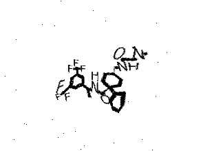 CC(NC(=O)[C@]1(c2ccccc2)CC[C@@H](CNC(=O)CN(C)C)CC1)c1cc(C(F)(F)F)cc(C(F)(F)F)c1